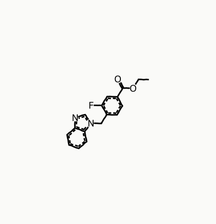 CCOC(=O)c1ccc(Cn2cnc3ccccc32)c(F)c1